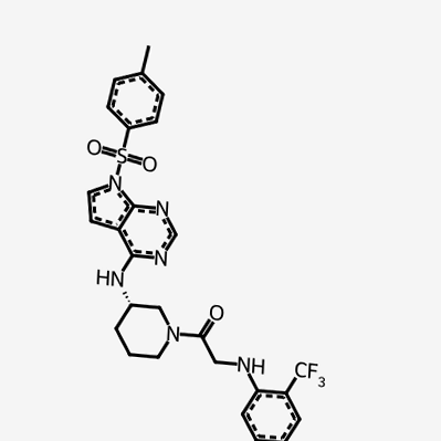 Cc1ccc(S(=O)(=O)n2ccc3c(N[C@H]4CCCN(C(=O)CNc5ccccc5C(F)(F)F)C4)ncnc32)cc1